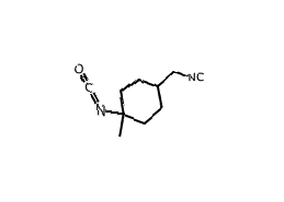 [C-]#[N+]CC1CCC(C)(N=C=O)CC1